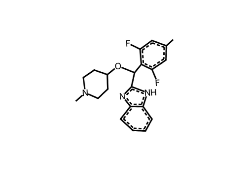 Cc1cc(F)c(C(OC2CCN(C)CC2)c2nc3ccccc3[nH]2)c(F)c1